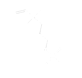 C=C[Si](C)(C)CCCOS(C)(=O)=O